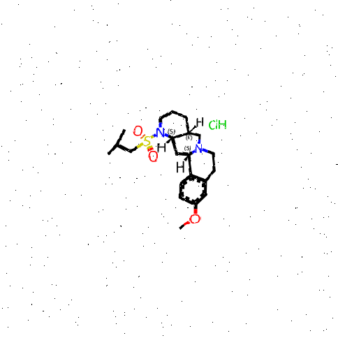 COc1ccc2c(c1)CCN1C[C@H]3CCCN(S(=O)(=O)CC(C)C)[C@H]3C[C@@H]21.Cl